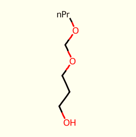 CCCOCOCCCO